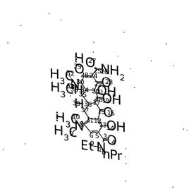 CCCN(CC)C(=O)c1cc(N(C)C)c2c(c1O)C(=O)C1=C(O)[C@]3(O)C(=O)C(C(N)=O)=C(O)[C@@H](N(C)C)[C@@H]3C[C@@H]1C2